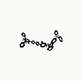 Cc1cc(-n2c3ccccc3c3cc(N(c4ccccc4)c4ccccc4)ccc32)ccc1-c1ccc(-c2ccc(-c3cc(-c4ccccc4)nc(-c4ccccc4)n3)cc2)cc1